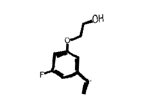 C=[C]c1cc(F)cc(OCCO)c1